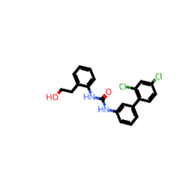 O=C(Nc1cccc(-c2ccc(Cl)cc2Cl)c1)Nc1ccccc1CCO